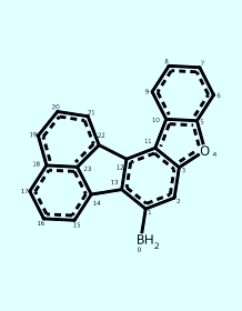 Bc1cc2oc3ccccc3c2c2c1-c1cccc3cccc-2c13